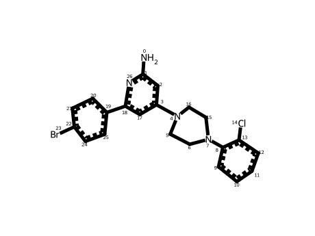 Nc1cc(N2CCN(c3ccccc3Cl)CC2)cc(-c2ccc(Br)cc2)n1